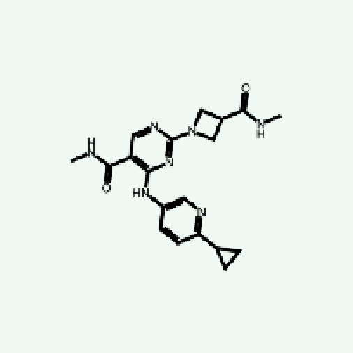 CNC(=O)c1cnc(N2CC(C(=O)NC)C2)nc1Nc1ccc(C2CC2)nc1